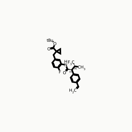 C=Cc1ccc([C@@H](C(=O)Nc2cc(CC3(C(=O)OC(C)(C)C)CC3)ccc2F)[C@@H](C)C(F)(F)F)cc1